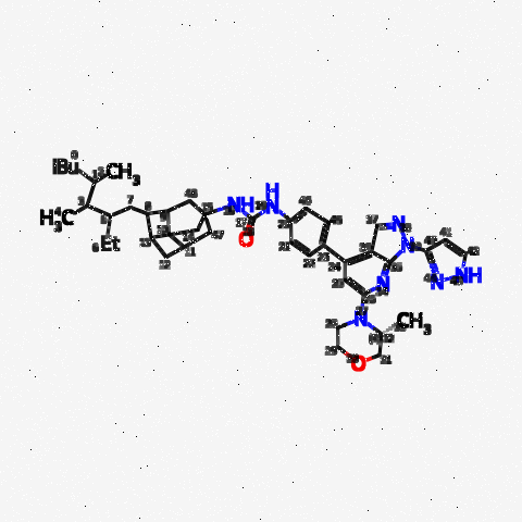 CCC(C)C(C)C(C)C(CC)CC1C2CC3CC1CC(NC(=O)Nc1ccc(-c4cc(N5CCOC[C@H]5C)nc5c4cnn5-c4cc[nH]n4)cc1)(C3)C2